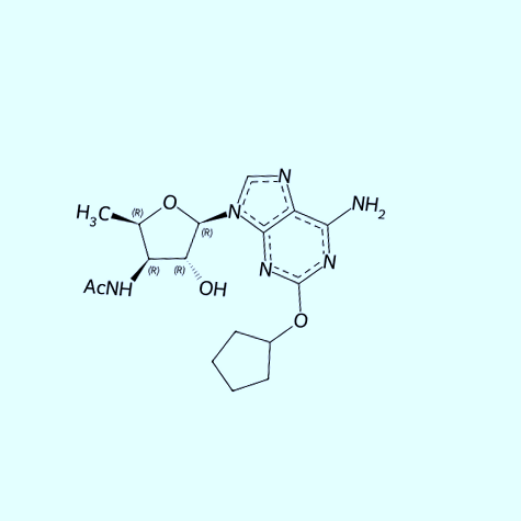 CC(=O)N[C@@H]1[C@@H](O)[C@H](n2cnc3c(N)nc(OC4CCCC4)nc32)O[C@@H]1C